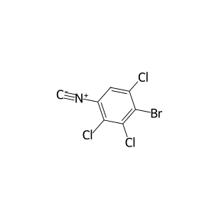 [C-]#[N+]c1cc(Cl)c(Br)c(Cl)c1Cl